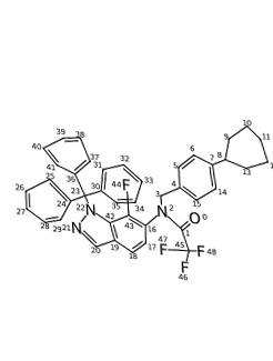 O=C(N(Cc1ccc(C2CCCCC2)cc1)c1ccc2cnn(C(c3ccccc3)(c3ccccc3)c3ccccc3)c2c1F)C(F)(F)F